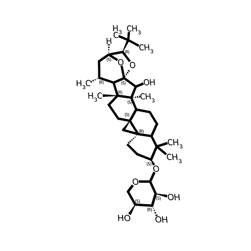 C[C@@H]1C[C@@H]2O[C@@]3(O[C@@H]2C(C)(C)C)C(O)[C@@]2(C)C4CCC5C(C)(C)[C@@H](OC6OC[C@H](O)[C@@H](O)[C@@H]6O)CC[C@@]56C[C@@]46CC[C@]2(C)C13